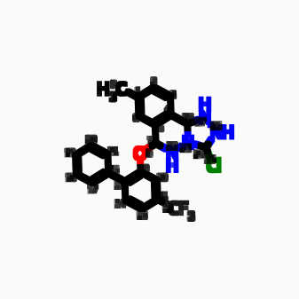 Cc1ccc2c(c1)C(Oc1cc(C(F)(F)F)ccc1-c1ccccc1)NN1C(Cl)NNC21